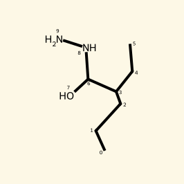 CCCC(CC)C(O)NN